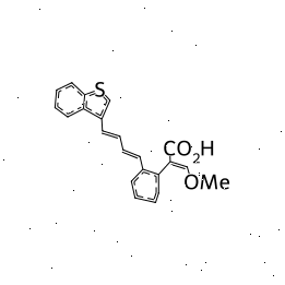 CO/C=C(/C(=O)O)c1ccccc1C=C/C=C/c1csc2ccccc12